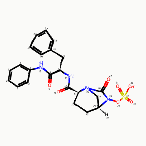 O=C(Nc1ccccc1)[C@@H](Cc1ccccc1)NC(=O)[C@@H]1CC[C@H]2CN1C(=O)N2OS(=O)(=O)O